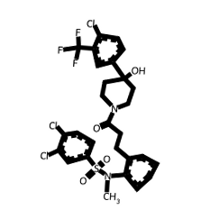 CN(c1ccccc1CCC(=O)N1CCC(O)(c2ccc(Cl)c(C(F)(F)F)c2)CC1)S(=O)(=O)c1ccc(Cl)c(Cl)c1